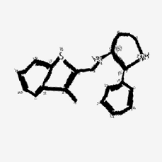 Cc1c(CN[C@H]2CCN[C@H]2c2ccccc2)sc2ccccc12